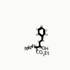 CCOC(=O)[C@@H](N=[N+]=[N-])C(O)CCc1ccccc1